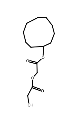 O=C(CO)OCC(=O)OC1CCCCCCCCC1